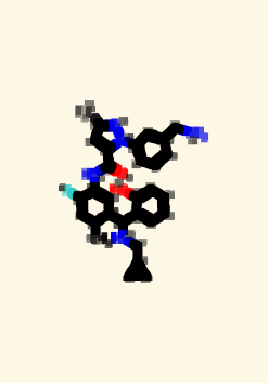 CC1C=C(F)C(NC(=O)c2cc(C(F)(F)F)nn2-c2cccc(CN)c2)=CC1C(NCC1CC1)c1ccccc1O